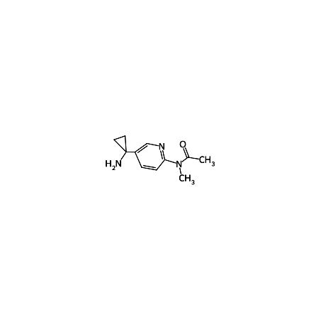 CC(=O)N(C)c1ccc(C2(N)CC2)cn1